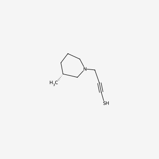 C[C@@H]1CCCN(CC#CS)C1